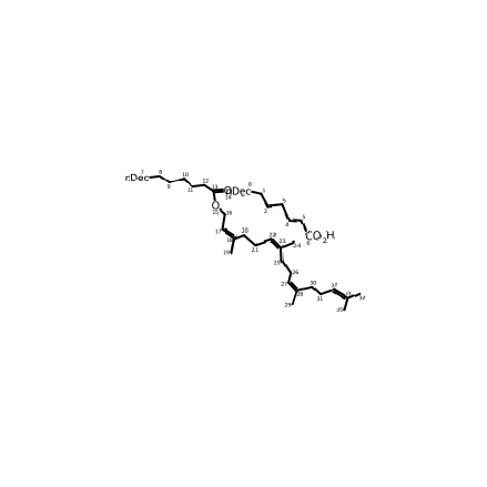 CCCCCCCCCCCCCCCC(=O)O.CCCCCCCCCCCCCCCC(=O)OCC=C(C)CCC=C(C)CCC=C(C)CCC=C(C)C